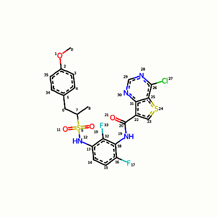 COc1ccc(CC(C)S(=O)(=O)Nc2ccc(F)c(NC(=O)c3csc4c(Cl)ncnc34)c2F)cc1